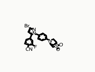 N#Cc1ccc(-c2cc(Br)nn2-c2ccc(N3CC4CC3CS4(=O)=O)cc2)cc1F